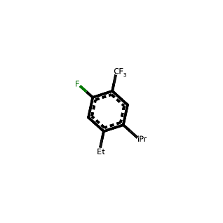 CCc1cc(F)c(C(F)(F)F)cc1C(C)C